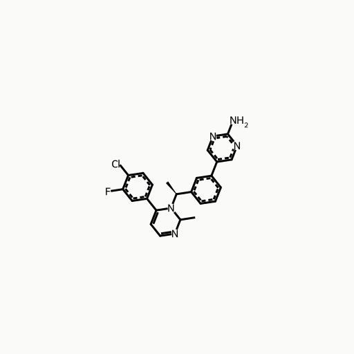 CC1N=CC=C(c2ccc(Cl)c(F)c2)N1[C@@H](C)c1cccc(-c2cnc(N)nc2)c1